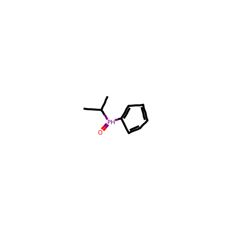 CC(C)[PH](=O)c1ccccc1